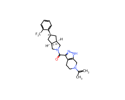 C=C(C)N1CCc2c(C(=O)N3C[C@H]4C[C@@H](c5ccccc5C(F)(F)F)C[C@H]4C3)n[nH]c2C1